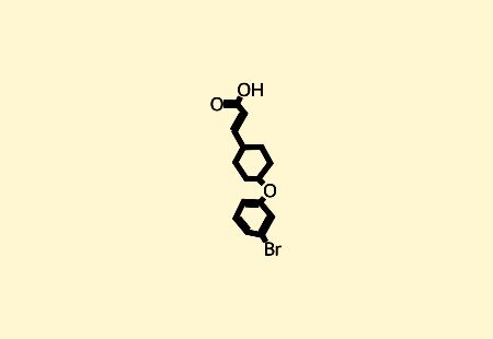 O=C(O)/C=C/C1CCC(Oc2cccc(Br)c2)CC1